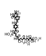 C[C@H](CCC(=O)NC[C@H](O)[C@@H](O)[C@H](O)C(=O)O)NC(=O)CC[C@H](NC(=O)c1ccc(NCc2cnc3nc(N)[nH]c(=O)c3n2)cc1)C(=O)O